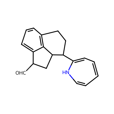 O=CC1CC2c3c(cccc31)CCC2C1=CC=CC=CN1